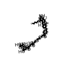 CCCCCNc1nc(N)nc2ccn(Cc3ccc(CN4CCN(C(=O)CCOCCOCCNC(=O)CCNC(=O)C(CC(=O)O)SCC(N)C(=O)O)CC4)cc3OC)c12